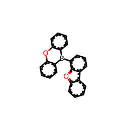 c1ccc2c(c1)Oc1ccccc1B2c1cccc2c1oc1ccccc12